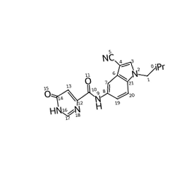 CC(C)Cn1cc(C#N)c2cc(NC(=O)c3cc(=O)[nH]cn3)ccc21